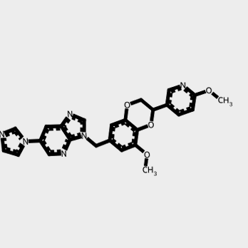 COc1ccc(C2COc3cc(Cn4cnc5cc(-n6ccnc6)cnc54)cc(OC)c3O2)cn1